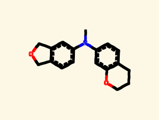 CN(c1ccc2c(c1)COC2)c1ccc2c(c1)OCCC2